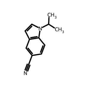 CC(C)n1ccc2cc(C#N)ccc21